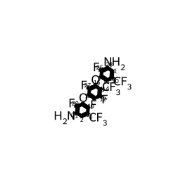 Nc1cc(C(F)(F)F)cc(Oc2c(F)c(F)c(C(F)(F)F)c(Oc3cc(C(F)(F)F)cc(N)c3F)c2F)c1F